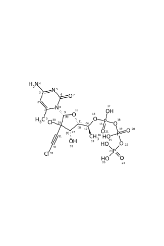 Cc1cc(N)nc(=O)n1[C@@H]1O[C@H]([C@H](C)OP(=O)(O)OP(=O)(O)OP(=O)(O)O)[C@H](O)C1(Cl)C#CCl